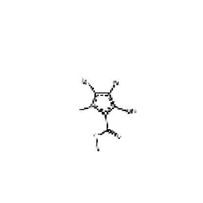 COC(=O)c1c(O)c(Br)c(Br)n1C